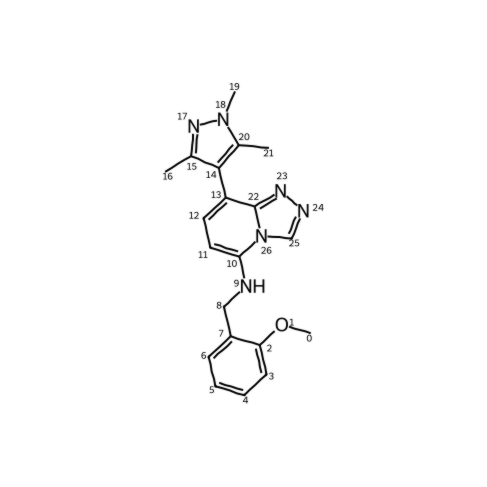 COc1ccccc1CNc1ccc(-c2c(C)nn(C)c2C)c2nncn12